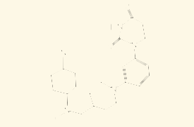 CN(CC1CCN(c2cccc(N3CCC(=O)NC3=O)c2)CC1)C1CCC(N)CC1